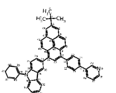 CC(C)(C)c1cc2ccc3c(-c4ccc(-c5cccnc5)cc4)cc(-c4ccc5c(c4)c4ccccc4n5C4=CCCC=C4)c4ccc(c1)c2c34